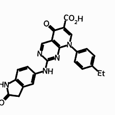 CCc1ccc(-n2cc(C(=O)O)c(=O)c3cnc(Nc4ccc5c(c4)CC(=O)N5)nc32)cc1